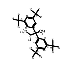 C[C@H](N)C(O)(c1cc(C(C)(C)C)cc(C(C)(C)C)c1)c1cc(C(C)(C)C)cc(C(C)(C)C)c1